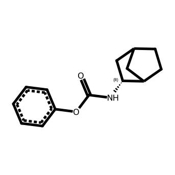 O=C(N[C@@H]1CC2CCC1C2)Oc1ccccc1